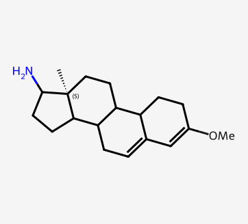 COC1=CC2=CCC3C(CC[C@]4(C)C(N)CCC34)C2CC1